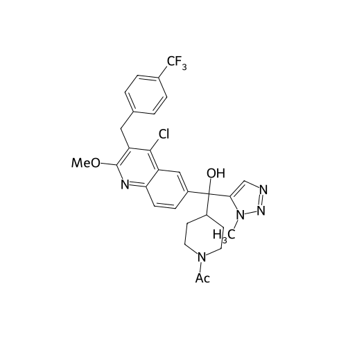 COc1nc2ccc(C(O)(c3cnnn3C)C3CCN(C(C)=O)CC3)cc2c(Cl)c1Cc1ccc(C(F)(F)F)cc1